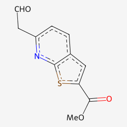 COC(=O)c1cc2ccc(CC=O)nc2s1